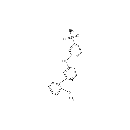 COc1ccccc1-c1ncnc(Nc2cccc(S(N)(=O)=O)c2)n1